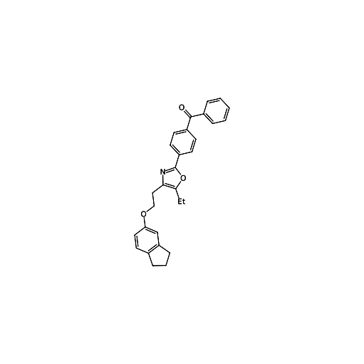 CCc1oc(-c2ccc(C(=O)c3ccccc3)cc2)nc1CCOc1ccc2c(c1)CCC2